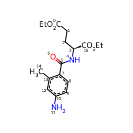 CCOC(=O)CC[C@H](NC(=O)c1ccc(N)cc1C)C(=O)OCC